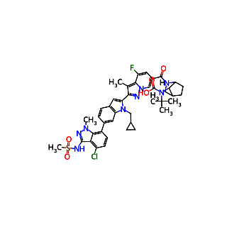 Cc1c(-c2cc3ccc(-c4ccc(Cl)c5c(NS(C)(=O)=O)nn(C)c45)cc3n2CC2CC2)nn2cc(C(=O)N3CC4CCC3[C@@H]4N(C(=O)O)C(C)(C)C)cc(F)c12